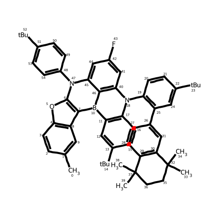 Cc1ccc2oc3c(c2c1)B1c2cc(C(C)(C)C)ccc2N(c2ccc(C(C)(C)C)cc2-c2ccc4c(c2)C(C)(C)CCC4(C)C)c2cc(F)cc(c21)N3c1ccc(C(C)(C)C)cc1